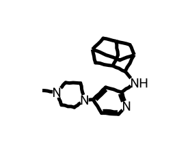 CN1CCN(c2ccnc(NC3C4CC5CC(C4)CC3C5)c2)CC1